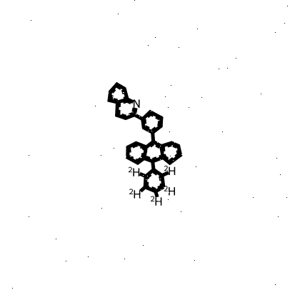 [2H]c1c([2H])c([2H])c(-c2c3ccccc3c(-c3cccc(-c4ccc5ccccc5n4)c3)c3ccccc23)c([2H])c1[2H]